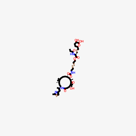 CCC(=O)N[C@H](CSCC1CCC(O)C(O)O1)C(=O)OCCSSCCNC(=O)O[C@H]1[C@@H](C)CCCC(C)(C)[C@@H](C)C[C@@H](/C(C)=C/c2csc(C)n2)NC(=O)C[C@H](O)C(C)(C)C(=O)[C@@H]1C